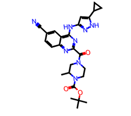 CC1CN(C(=O)c2nc(Nc3cc(C4CC4)[nH]n3)c3cc(C#N)ccc3n2)CCN1C(=O)OC(C)(C)C